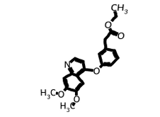 CCOC(=O)Cc1cccc(Oc2ccnc3cc(OC)c(OC)cc23)c1